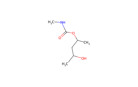 CNC(=O)OC(C)CC(C)O